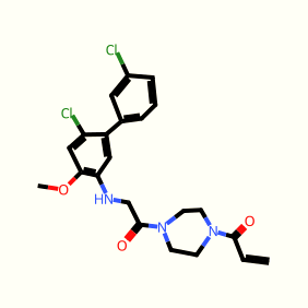 C=CC(=O)N1CCN(C(=O)CNc2cc(-c3cccc(Cl)c3)c(Cl)cc2OC)CC1